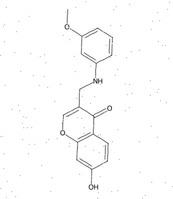 COc1cccc(NCc2coc3cc(O)ccc3c2=O)c1